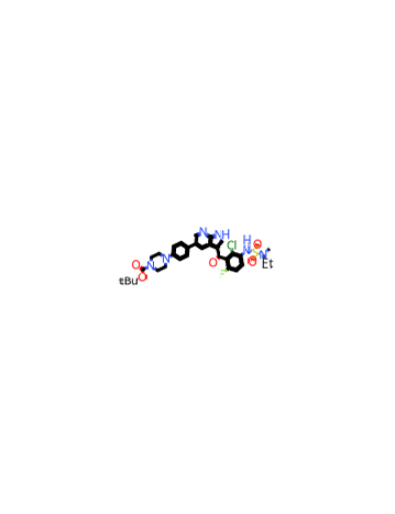 CCN(C)S(=O)(=O)Nc1ccc(F)c(C(=O)c2c[nH]c3ncc(-c4ccc(N5CCN(C(=O)OC(C)(C)C)CC5)cc4)cc23)c1Cl